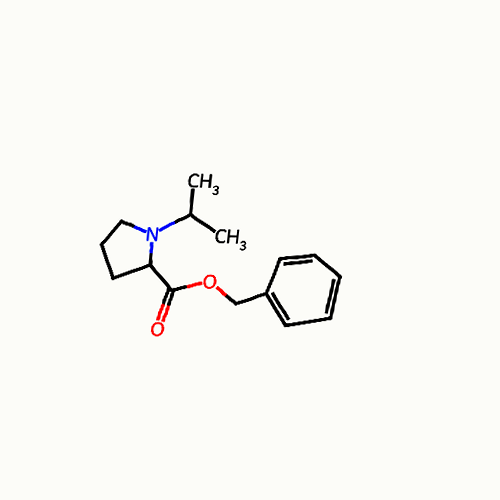 CC(C)N1CCCC1C(=O)OCc1ccccc1